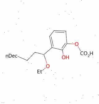 CCCCCCCCCCCCC(OCC)c1cccc(OC(=O)O)c1O